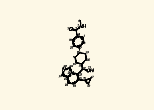 CNC(=O)c1ccc([C@H]2CC[C@H]([C@@H](O)c3c(C4CC4)ccc4cncn34)CC2)cc1